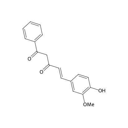 COc1cc(C=CC(=O)CC(=O)c2ccccc2)ccc1O